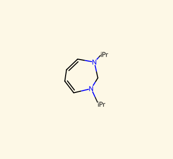 CC(C)N1C=CC=CN(C(C)C)C1